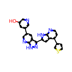 Oc1cncc(-c2cnc3[nH]nc(-c4cc5c(-c6ccsc6)ccnc5[nH]4)c3c2)c1